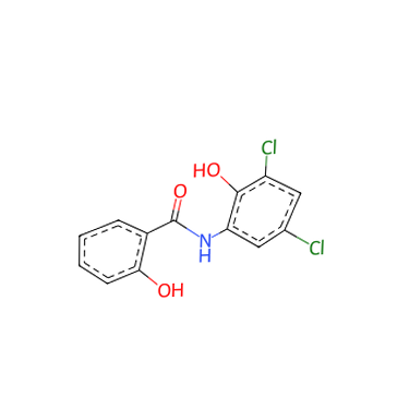 O=C(Nc1cc(Cl)cc(Cl)c1O)c1ccccc1O